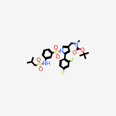 CC(C)CS(=O)(=O)Nc1cccc(S(=O)(=O)n2cc(CN(C)C(=O)OC(C)(C)C)cc2-c2ccc(F)cc2F)c1